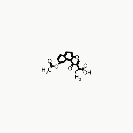 C=C(C(=O)O)c1coc2ccc3ccc(OC(C)=O)cc3c2c1=O